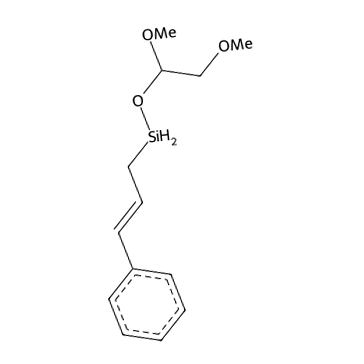 COCC(OC)O[SiH2]CC=Cc1ccccc1